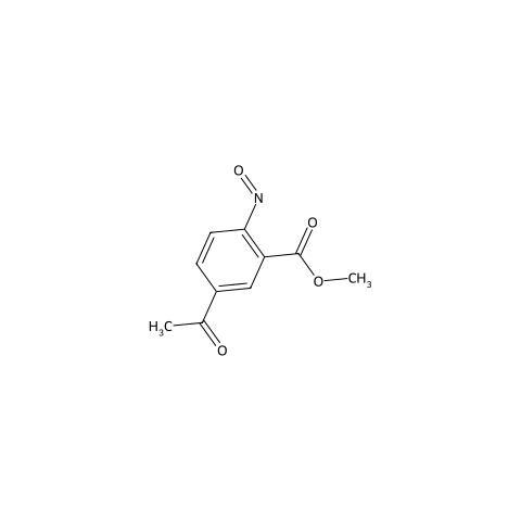 COC(=O)c1cc(C(C)=O)ccc1N=O